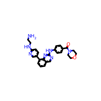 NCCNc1ccc(-c2cccc3cnc(Nc4ccc(C(=O)N5CCOCC5)cc4)nc23)cn1